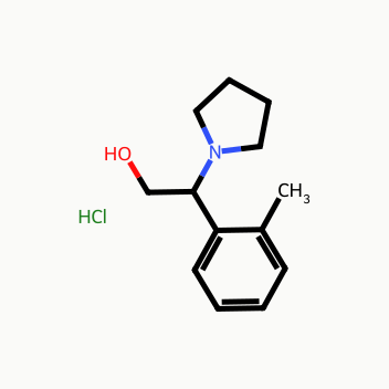 Cc1ccccc1C(CO)N1CCCC1.Cl